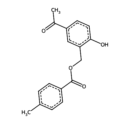 CC(=O)c1ccc(O)c(COC(=O)c2ccc(C)cc2)c1